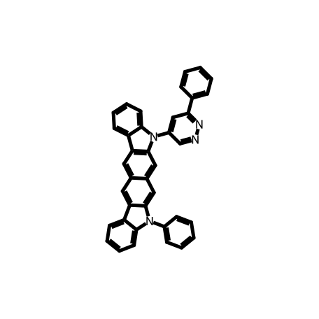 c1ccc(-c2cc(-n3c4ccccc4c4cc5cc6c7ccccc7n(-c7ccccc7)c6cc5cc43)cnn2)cc1